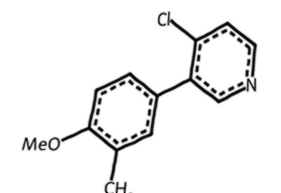 COc1ccc(-c2cnccc2Cl)cc1C